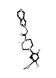 COc1cc(N2CCN(C(=O)Cn3cc4cnccc4n3)[C@@H](C)C2)c(F)cc1Cl